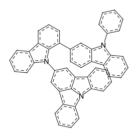 c1ccc(-n2c3ccccc3c3ccc(-c4cccc5c6ccccc6n(-c6cc7c8ccccc8n8c9ccccc9c(c6)c78)c45)cc32)cc1